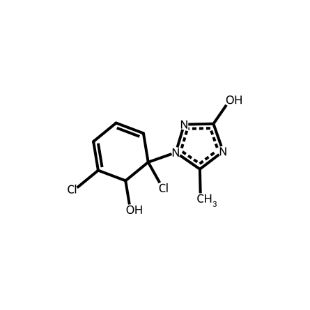 Cc1nc(O)nn1C1(Cl)C=CC=C(Cl)C1O